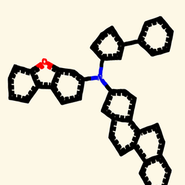 c1ccc(-c2cccc(N(c3ccc4c(ccc5c6ccccc6ccc45)c3)c3ccc4c(c3)oc3ccccc34)c2)cc1